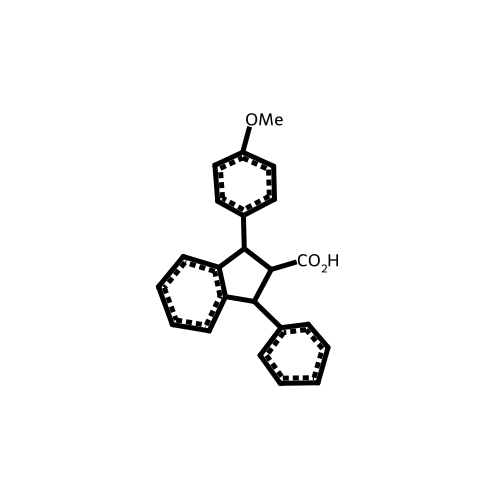 COc1ccc(C2c3ccccc3C(c3ccccc3)C2C(=O)O)cc1